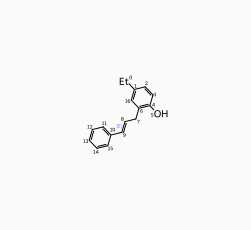 CCc1ccc(O)c(C/C=C/c2ccccc2)c1